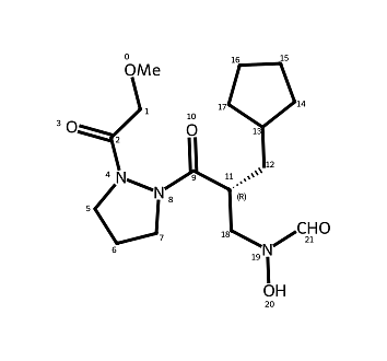 COCC(=O)N1CCCN1C(=O)[C@H](CC1CCCC1)CN(O)C=O